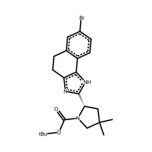 CC1(C)C[C@@H](c2nc3c([nH]2)-c2ccc(Br)cc2CC3)N(C(=O)OC(C)(C)C)C1